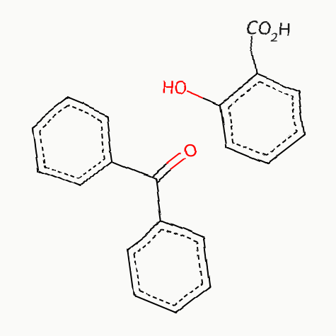 O=C(O)c1ccccc1O.O=C(c1ccccc1)c1ccccc1